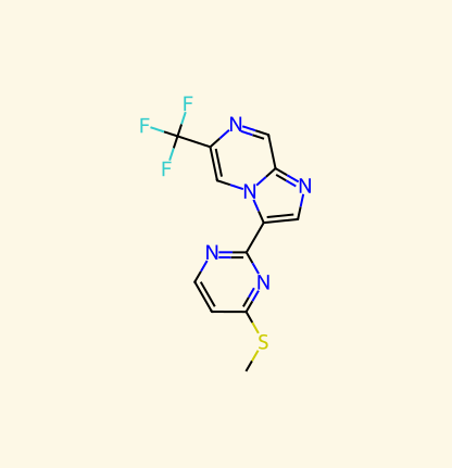 CSc1ccnc(-c2cnc3cnc(C(F)(F)F)cn23)n1